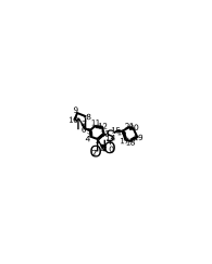 O=[N+]([O-])c1cc(CN2CCC2)ccc1SCc1ccccc1